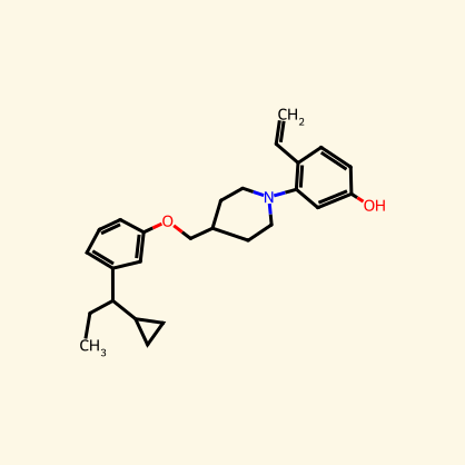 C=Cc1ccc(O)cc1N1CCC(COc2cccc(C(CC)C3CC3)c2)CC1